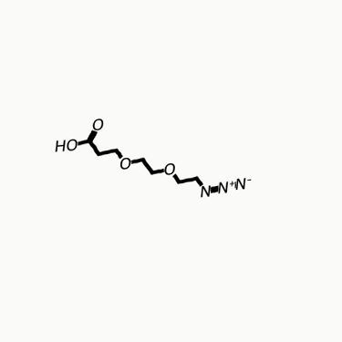 [N-]=[N+]=NCCOCCOCCC(=O)O